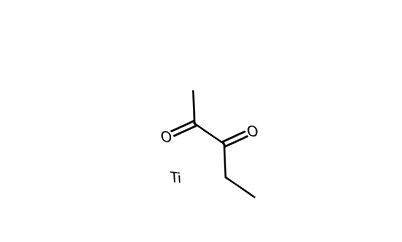 CCC(=O)C(C)=O.[Ti]